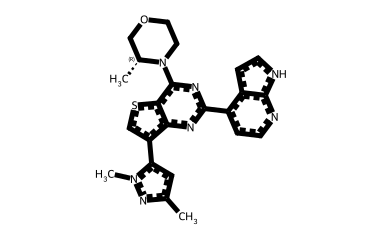 Cc1cc(-c2csc3c(N4CCOC[C@H]4C)nc(-c4ccnc5[nH]ccc45)nc23)n(C)n1